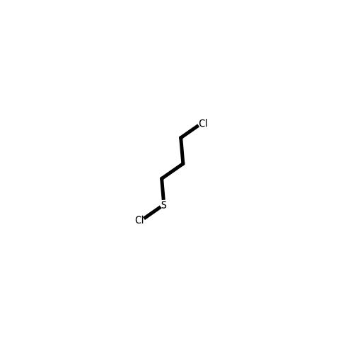 ClCCCSCl